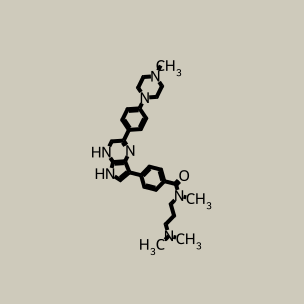 CN(C)CCCN(C)C(=O)c1ccc(-c2c[nH]c3c2N=C(c2ccc(N4CCN(C)CC4)cc2)CN3)cc1